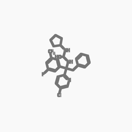 O[C@@H](NC1CCCC1)NC(Cc1ccccc1)(c1cc(F)cc(C(F)(F)F)c1)c1ccc(Cl)cn1